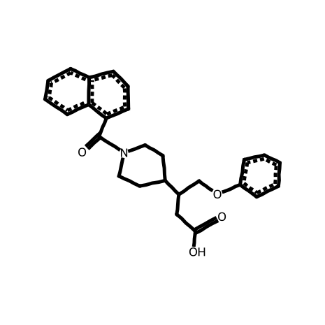 O=C(O)CC(COc1ccccc1)C1CCN(C(=O)c2cccc3ccccc23)CC1